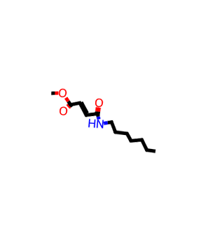 CCCCCCCNC(=O)C=CC(=O)OC